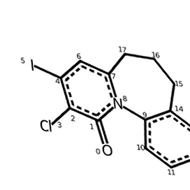 O=c1c(Cl)c(I)cc2n1-c1ccncc1CCC2